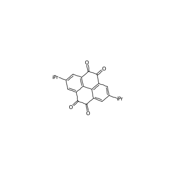 CC(C)c1cc2c3c(c1)c(=O)c(=O)c1cc(C(C)C)cc(c1-3)c(=O)c2=O